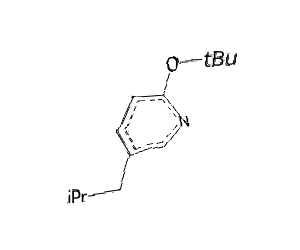 CC(C)Cc1ccc(OC(C)(C)C)nc1